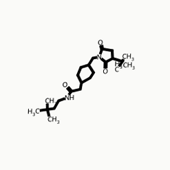 CC(C)(C)CCNC(=O)CC1CCC(CN2C(=O)CC(C(C)(C)C)C2=O)CC1